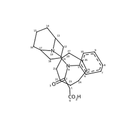 O=C(O)CC(=O)N(c1ccccc1)C1CC2CCCC(C1)N2C1CCCCCCC1